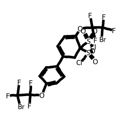 O=S(=O)(Cl)C1(S(=O)(=O)Cl)CC(c2ccc(OC(F)(F)C(F)(F)Br)cc2)=CC=C1OC(F)(F)C(F)(F)Br